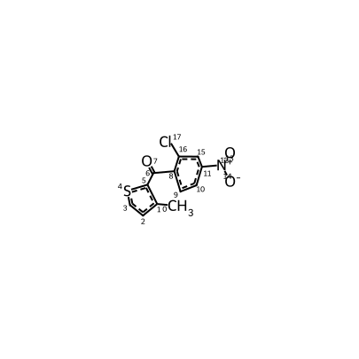 Cc1ccsc1C(=O)c1ccc([N+](=O)[O-])cc1Cl